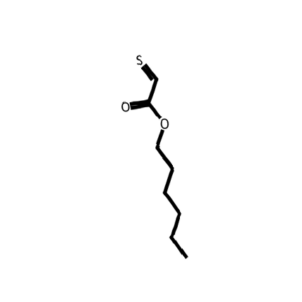 CCCCCCOC(=O)C=S